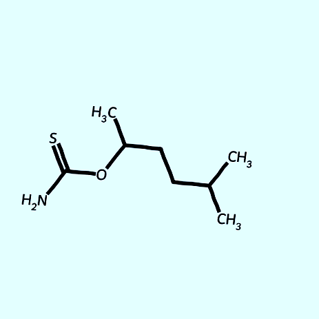 CC(C)CCC(C)OC(N)=S